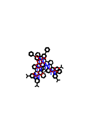 CC(C)C1=C=C=c2c(c3cc(C(C)C)ccc3n2-c2ccc3c(c2)N(c2c(C4=CCCC(C5C=CC=CC5)=C4)cccc2C2CCC=C(C4=CC=CCC4)C2)c2cc(-n4c5ccc(-c6ccccc6)cc5c5cc(-c6ccccc6)ccc54)cc4c2B3c2ccc(-n3c5ccc(C(C)C)cc5c5cc(C(C)C)ccc53)cc2N4C2=C(c3cccc(-c4ccccc4)c3)CCC=C2C2C=CC=C(c3ccccc3)C2)=C1